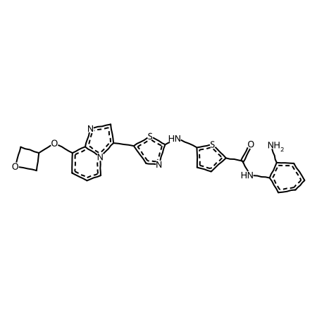 Nc1ccccc1NC(=O)c1ccc(Nc2ncc(-c3cnc4c(OC5COC5)cccn34)s2)s1